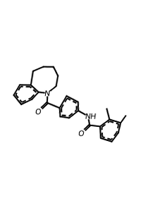 Cc1cccc(C(=O)Nc2ccc(C(=O)N3CCCCCc4ccccc43)cc2)c1C